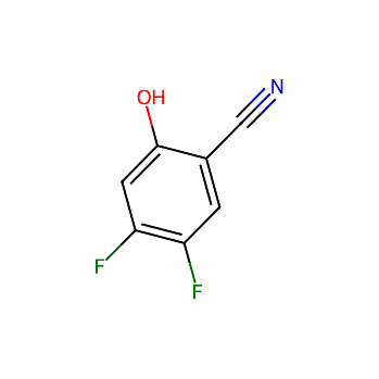 N#Cc1cc(F)c(F)cc1O